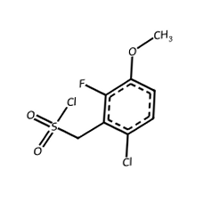 COc1ccc(Cl)c(CS(=O)(=O)Cl)c1F